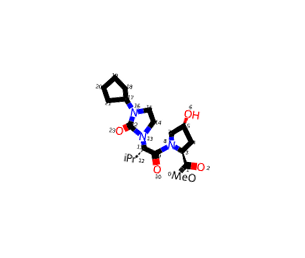 COC(=O)[C@@H]1C[C@H](O)CN1C(=O)[C@H](C(C)C)N1CCN(C2CCCC2)C1=O